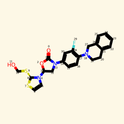 O=C1OC(N2C=CS[C@H]2SCO)CN1c1ccc(N2CCc3ccccc3C2)c(F)c1